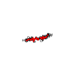 O=C(C=CN1CC(CBr)c2c1cc([N+](=O)[O-])c1cc(S(=O)(=O)NCCOP(=O)(O)O)ccc21)c1cccc(C=CC(=O)N2CC(CCl)c3c2cc([N+](=O)[O-])c2cc(S(=O)(=O)NCCOP(=O)(O)O)ccc32)c1